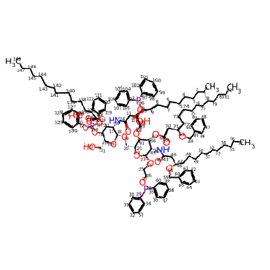 CCCCCCCCCCC[C@@H](O)CC(=O)N[C@@H]1[C@H](OC[C@H]2O[C@H](OCCOP(c3ccccc3)c3ccccc3)[C@@H](NC(=O)C[C@@H](CCCCCCCCCCC)OCc3ccccc3)[C@@H](OC(=O)C[C@@H](CCCCCCCCCCC)OCc3ccccc3)[C@@H]2OCCOP(c2ccccc2)c2ccccc2)O[C@H](CO)[C@@H](OP(=O)(Oc2ccccc2)Oc2ccccc2)[C@@H]1OC(=O)C[C@H](O)CCCCCCCCCCC